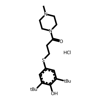 CN1CCN(C(=O)CCSc2cc(C(C)(C)C)c(O)c(C(C)(C)C)c2)CC1.Cl